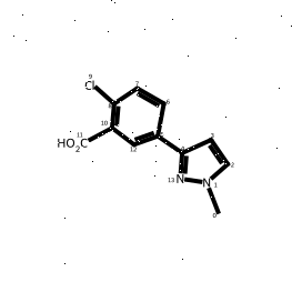 Cn1ccc(-c2ccc(Cl)c(C(=O)O)c2)n1